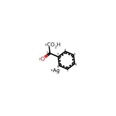 O=C(O)C(=O)c1ccccc1.[Ag]